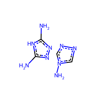 Nc1nnc(N)[nH]1.Nn1cnnc1